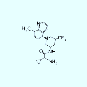 Cc1ccc(N2CC(NC(=O)C(N)C3CC3)CC(C(F)(F)F)C2)c2cccnc12